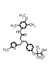 COc1cc(C)c(NC(=O)CN(Cc2ccc(OC(C)(C)C(=O)O)cc2)Cc2ccc(C)o2)cc1C